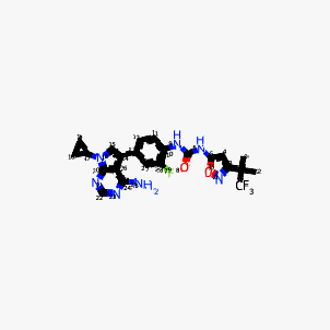 CC(C)(c1cc(NC(=O)Nc2ccc(-c3cn(C4CC4)c4ncnc(N)c34)cc2F)on1)C(F)(F)F